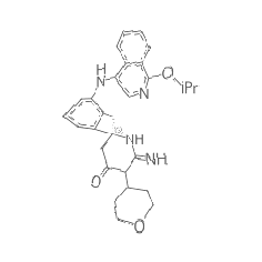 CC(C)Oc1ncc(Nc2cccc3c2C[C@]32CC(=O)C(C3CCOCC3)C(=N)N2)c2ccccc12